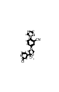 N#Cc1cc(N2COC(c3ccnc(Cl)c3)(C(F)(F)F)C2)ccc1-n1cncn1